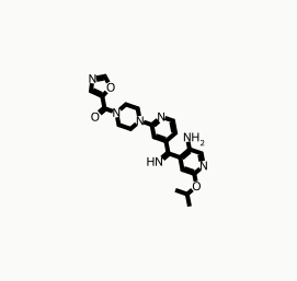 CC(C)Oc1cc(C(=N)c2ccnc(N3CCN(C(=O)c4cnco4)CC3)c2)c(N)cn1